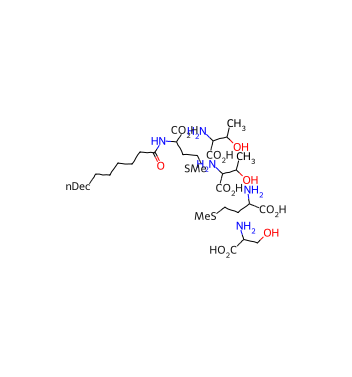 CC(O)C(N)C(=O)O.CC(O)C(N)C(=O)O.CCCCCCCCCCCCCCCC(=O)NC(CCSC)C(=O)O.CSCCC(N)C(=O)O.NC(CO)C(=O)O